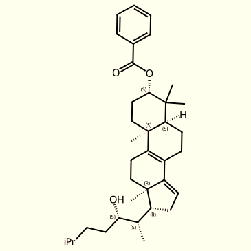 CC(C)CC[C@H](O)[C@@H](C)[C@H]1CC=C2C3=C(CC[C@@]21C)[C@@]1(C)CC[C@H](OC(=O)c2ccccc2)C(C)(C)[C@H]1CC3